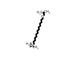 C=C(C)COCCCCCCCCCCCCCCC[Si](C)(C)F